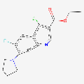 CCOC(=O)c1cnc2cc(N3CCCC3)c(F)cc2c1Cl